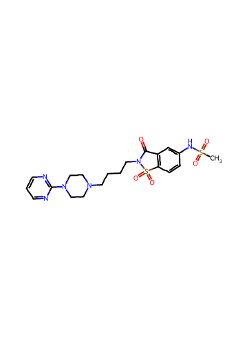 CS(=O)(=O)Nc1ccc2c(c1)C(=O)N(CCCCN1CCN(c3ncccn3)CC1)S2(=O)=O